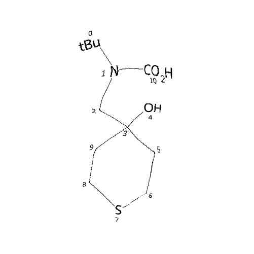 CC(C)(C)N(CC1(O)CCSCC1)C(=O)O